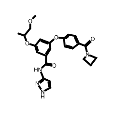 COCC(C)Oc1cc(Oc2ccc(C(=O)N3CCC3)cc2)cc(C(=O)Nc2cc[nH]n2)c1